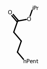 [CH2]CCCCCCCC(=O)OC(C)C